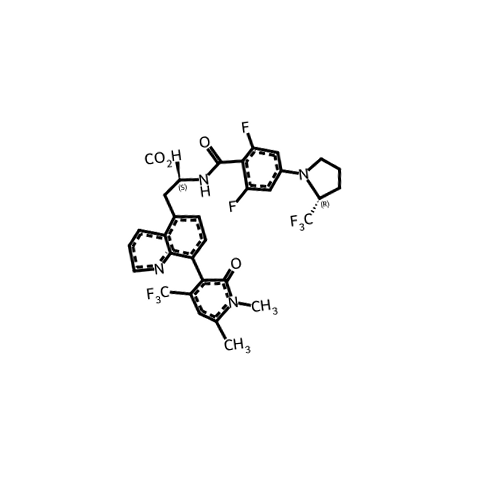 Cc1cc(C(F)(F)F)c(-c2ccc(C[C@H](NC(=O)c3c(F)cc(N4CCC[C@@H]4C(F)(F)F)cc3F)C(=O)O)c3cccnc23)c(=O)n1C